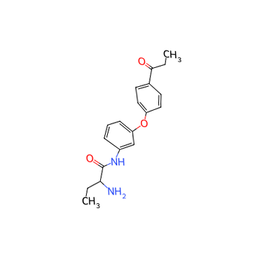 CCC(=O)c1ccc(Oc2cccc(NC(=O)C(N)CC)c2)cc1